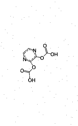 O=C(O)Oc1nccnc1OC(=O)O